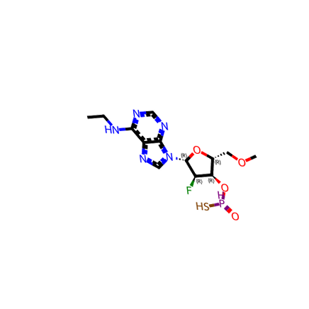 CCNc1ncnc2c1ncn2[C@@H]1O[C@H](COC)[C@@H](O[PH](=O)S)[C@H]1F